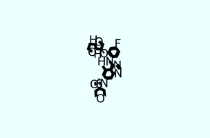 Cc1cc(N=S(C)(=O)C2CCOCC2)cc2ncnc(Nc3ccc(F)cc3O[C@@H]3CO[C@@H]4CCO[C@@H]43)c12